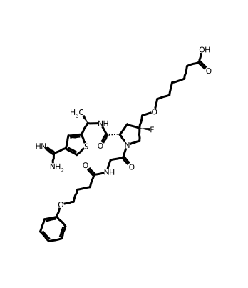 C[C@@H](NC(=O)[C@@H]1C[C@](F)(COCCCCCC(=O)O)CN1C(=O)CNC(=O)CCCOc1ccccc1)c1cc(C(=N)N)cs1